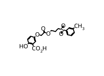 Cc1cccc(S(=O)(=O)CCCOC(=O)COc2ccc(O)c(C(=O)O)c2)c1